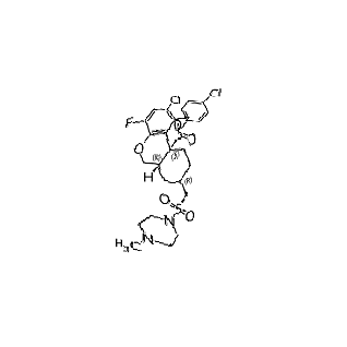 CN1CCN(S(=O)(=O)C[C@@H]2CC[C@@]3(S(=O)(=O)c4ccc(Cl)cc4)c4c(F)c(Cl)cc(F)c4OC[C@H]3C2)CC1